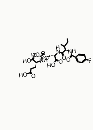 CCC(C)[C@@H](NC(=O)c1ccc(F)cc1)C(=O)N[C@@H](COP(=O)(O)N[C@@H](CCC(=O)O)C(=O)O)C(=O)O